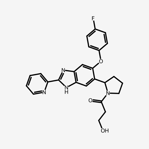 O=C(CCO)N1CCCC1c1cc2[nH]c(-c3ccccn3)nc2cc1Oc1ccc(F)cc1